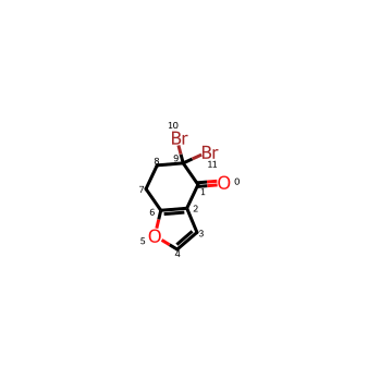 O=C1c2ccoc2CCC1(Br)Br